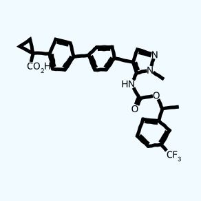 CC(OC(=O)Nc1c(-c2ccc(-c3ccc(C4(C(=O)O)CC4)cc3)cc2)cnn1C)c1cccc(C(F)(F)F)c1